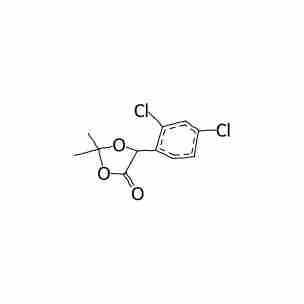 CC1(C)OC(=O)C(c2ccc(Cl)cc2Cl)O1